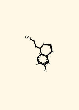 OCCC1CCCc2cc(F)ccc21